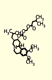 COc1cc2c(cc1OC)[C@H]1C[C@@H](OC(=O)OCOC(=O)CC(C)C)[C@H](CC(C)C)CN1CC2